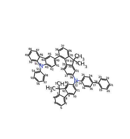 CC1(C)c2ccccc2-c2ccc(N(c3ccc(-c4ccccc4)cc3)c3ccc4c(c3)C(C)(C)c3cccc(-c5ccc6c(c5)c5ccccc5n6-c5ccccc5)c3-4)cc21